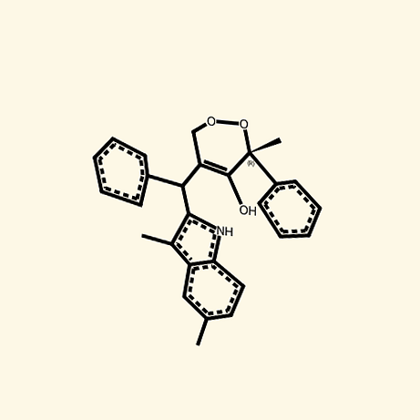 Cc1ccc2[nH]c(C(C3=C(O)[C@@](C)(c4ccccc4)OOC3)c3ccccc3)c(C)c2c1